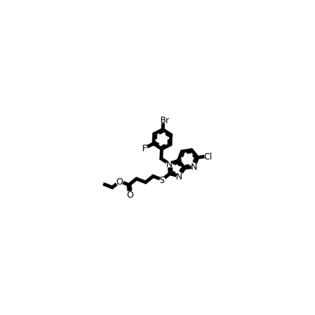 CCOC(=O)CCCSc1nc2nc(Cl)ccc2n1Cc1ccc(Br)cc1F